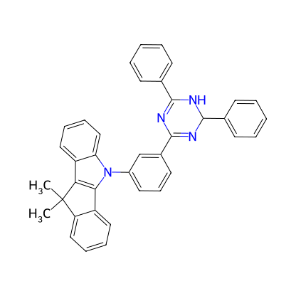 CC1(C)c2ccccc2-c2c1c1ccccc1n2-c1cccc(C2=NC(c3ccccc3)NC(c3ccccc3)=N2)c1